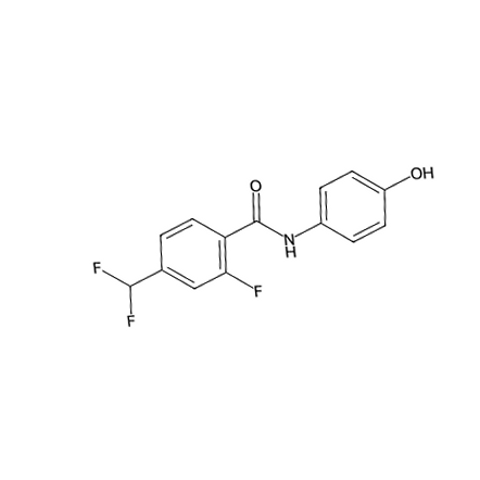 O=C(Nc1ccc(O)cc1)c1ccc(C(F)F)cc1F